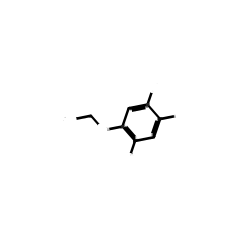 CC(=O)COc1cc(Cl)c(Cl)cc1Cl